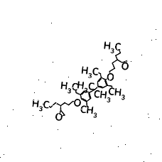 CCCC(CCCOc1c(CC)cc(C(C)(C)c2cc(CC)c(OCCCC(CCC)C3CO3)c(CC)c2)cc1CC)C1CO1